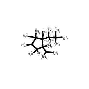 BC1C(B)(B)C(B)(C(B)B)C(B)(C(B)(B)C(C)(C)C)C1(B)B